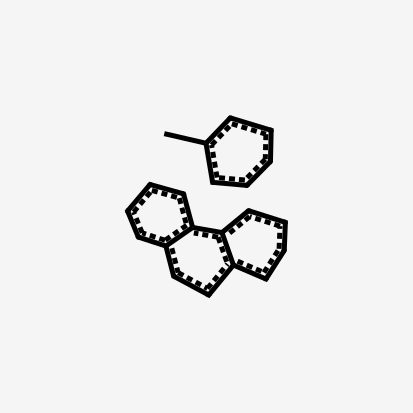 Cc1ccccc1.c1ccc2c(c1)ccc1ccccc12